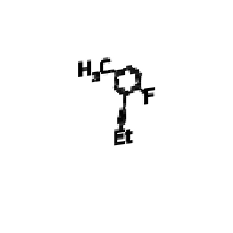 CCC#Cc1cc(C)ccc1F